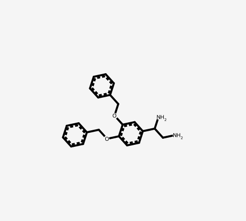 NCC(N)c1ccc(OCc2ccccc2)c(OCc2ccccc2)c1